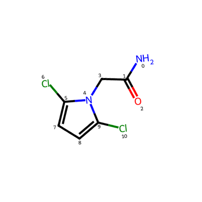 NC(=O)Cn1c(Cl)ccc1Cl